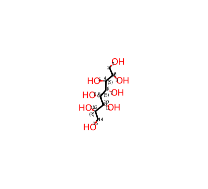 OC[C@@H](O)[C@H](O)[C@H](O)[C@@H](O)[C@H](O)[C@H](O)CO